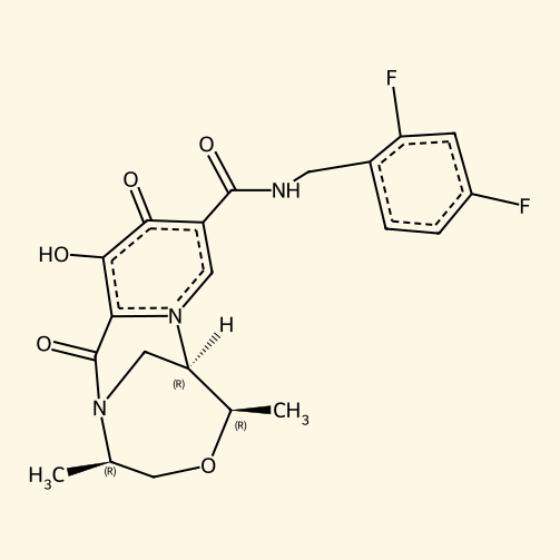 C[C@@H]1CO[C@H](C)[C@H]2CN1C(=O)c1c(O)c(=O)c(C(=O)NCc3ccc(F)cc3F)cn12